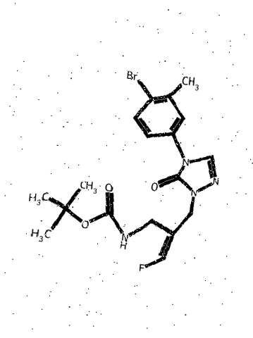 Cc1cc(-n2cnn(C/C(=C/F)CNC(=O)OC(C)(C)C)c2=O)ccc1Br